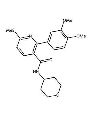 COc1ccc(-c2nc(SC)ncc2C(=O)NC2CCOCC2)cc1OC